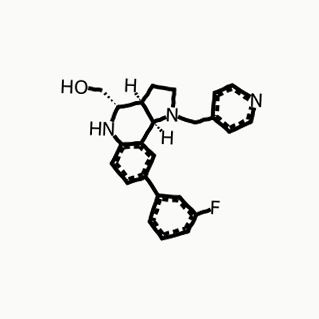 OC[C@H]1Nc2ccc(-c3cccc(F)c3)cc2[C@H]2[C@@H]1CCN2Cc1ccncc1